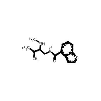 CNC(CNC(=O)c1cccc2occc12)C(C)C